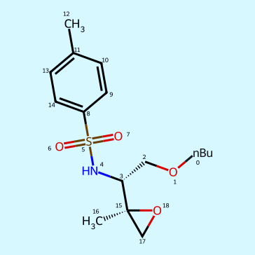 CCCCOC[C@@H](NS(=O)(=O)c1ccc(C)cc1)[C@]1(C)CO1